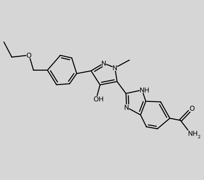 CCOCc1ccc(-c2nn(C)c(-c3nc4ccc(C(N)=O)cc4[nH]3)c2O)cc1